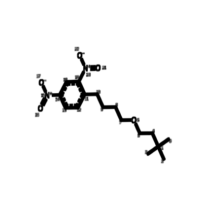 CC(C)(C)CCOCCCCc1ccc([N+](=O)[O-])cc1[N+](=O)[O-]